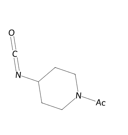 CC(=O)N1CCC(N=C=O)CC1